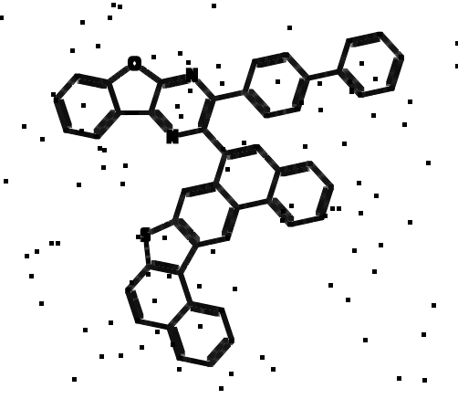 c1ccc(-c2ccc(-c3nc4oc5ccccc5c4nc3-c3cc4ccccc4c4cc5c(cc34)sc3ccc4ccccc4c35)cc2)cc1